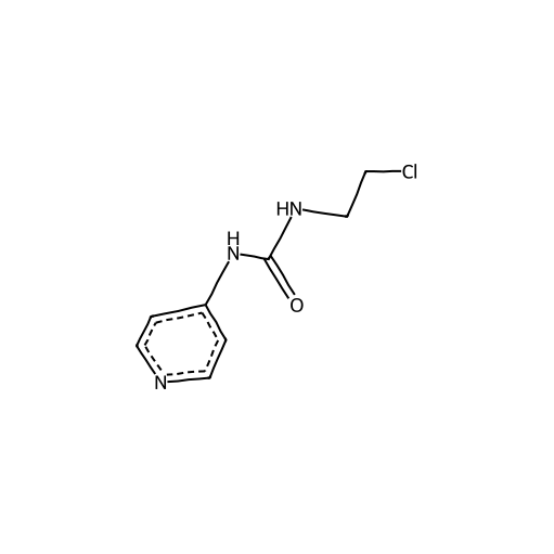 O=C(NCCCl)Nc1ccncc1